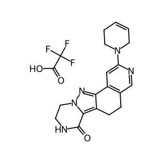 O=C(O)C(F)(F)F.O=C1NCCn2nc3c(c21)CCc1cnc(N2CC=CCC2)cc1-3